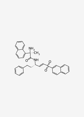 C[C@](N)(C(=O)N[C@H](/C=C/S(=O)(=O)c1ccc2ccccc2c1)CCc1ccccc1)c1cccc2ccccc12